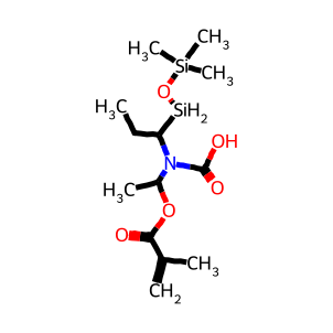 C=C(C)C(=O)OC(C)N(C(=O)O)C(CC)[SiH2]O[Si](C)(C)C